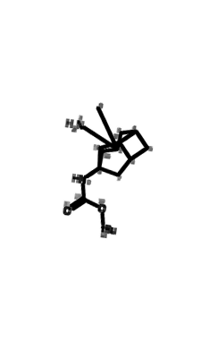 CC1(N)CC2CC3CC(NC(=O)OC(C)(C)C)(CC23)C1